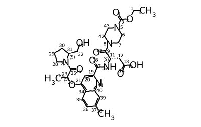 CCOC(=O)N1CCN(C(=O)[C@H](CC(=O)O)NC(=O)c2cc(O[C@@H](C)C(=O)N3CCC[C@H]3CO)c3ccc(C)cc3n2)CC1